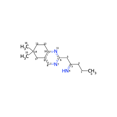 CCCC(=N)Cc1ncc2c(n1)CCC(C)(C)C2